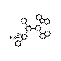 CC1(C)c2ccccc2-c2ccc(-c3cc(-c4cc(-c5cccc6ccccc56)cc(-n5c6ccccc6c6ccccc65)c4)nc(-c4ccccc4)n3)cc21